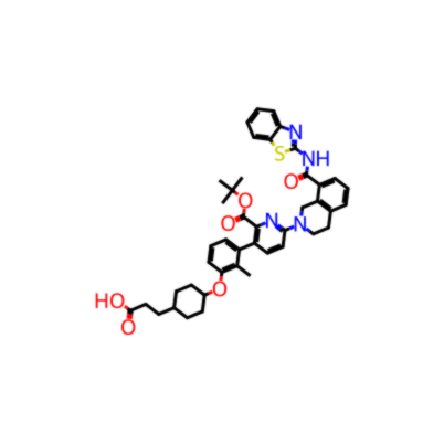 Cc1c(OC2CCC(CCC(=O)O)CC2)cccc1-c1ccc(N2CCc3cccc(C(=O)Nc4nc5ccccc5s4)c3C2)nc1C(=O)OC(C)(C)C